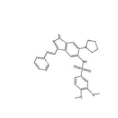 COc1ccc(S(=O)(=O)Nc2cc3c(C=Cc4ccccc4)n[nH]c3cc2N2CCCC2)cc1OC